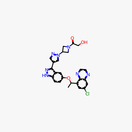 CC(Oc1ccc2[nH]nc(-c3cnn(C4CN(C(=O)CO)C4)c3)c2c1)c1cc(Cl)cc2nccnc12